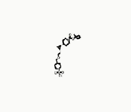 CCS(=O)(=O)N1CCC(COCC[C@@H]2C[C@@H]2C2CCN(C(=O)OC3(C)CCC3)CC2)CC1